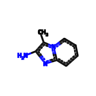 Cc1c(N)nc2ccccn12